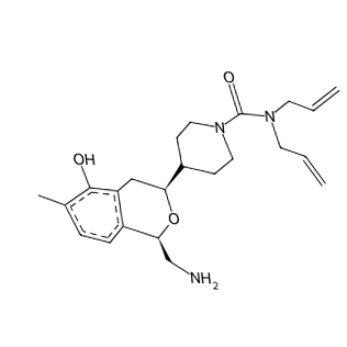 C=CCN(CC=C)C(=O)N1CCC([C@@H]2Cc3c(ccc(C)c3O)[C@H](CN)O2)CC1